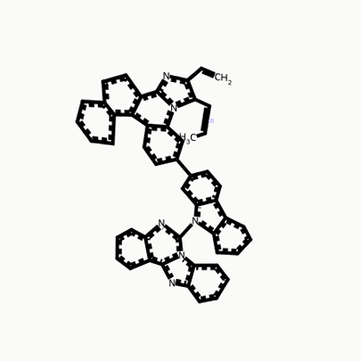 C=Cc1nc2c3ccc4ccccc4c3c3ccc(-c4ccc5c6ccccc6n(-c6nc7ccccc7c7nc8ccccc8n67)c5c4)cc3n2c1/C=C\C